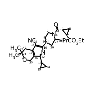 CCOC(=O)[C@@H]1C[C@H]1C(=O)N1CCN(c2nc(C3CC3)c3c(c2C#N)CC(C)(C)OC3)CC1C(C)C